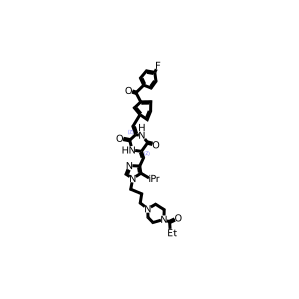 CCC(=O)N1CCN(CCCn2cnc(/C=c3\[nH]c(=O)/c(=C/c4cccc(C(=O)c5ccc(F)cc5)c4)[nH]c3=O)c2C(C)C)CC1